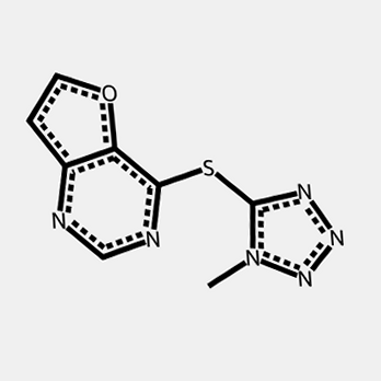 Cn1nnnc1Sc1ncnc2ccoc12